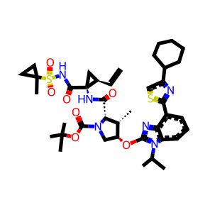 C=C[C@@H]1C[C@]1(NC(=O)[C@@H]1[C@H](C)[C@@H](Oc2nc3c(-c4nc(C5CCCCC5)cs4)cccc3n2C(C)C)CN1C(=O)OC(C)(C)C)C(=O)NS(=O)(=O)C1(C)CC1